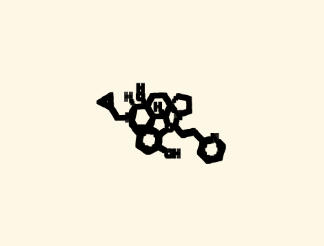 Oc1ccc2c3c1O[C@H]1[C@@]4(CCCN4C/C=C/c4ccccn4)CC[C@@]4(O)[C@@H](C2)N(CC2CC2)CC[C@]314